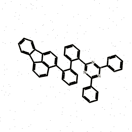 c1ccc(-c2nc(-c3ccccc3)nc(-c3ccccc3-c3ccccc3-c3ccc4c5c(cccc35)-c3ccccc3-4)n2)cc1